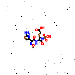 CO/N=C(\C(=O)N[C@@H]1C(=O)N(S(=O)(=O)O)[C@@H]1SCC(=O)O)c1csc(N)n1